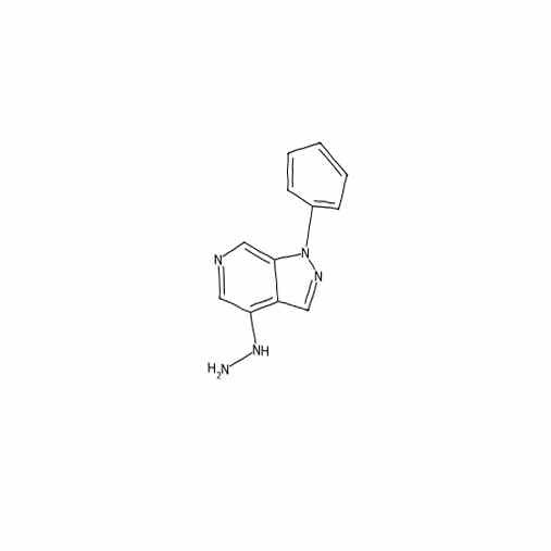 NNc1cncc2c1cnn2-c1ccccc1